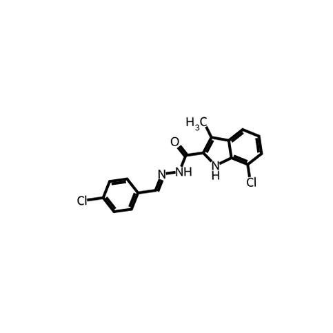 Cc1c(C(=O)NN=Cc2ccc(Cl)cc2)[nH]c2c(Cl)cccc12